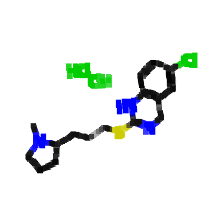 CN1CCCC1CCCSC1=NCc2cc(Cl)ccc2N1.Cl.Cl